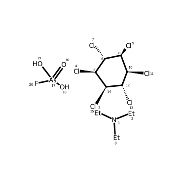 CCN(CC)CC.Cl[C@H]1[C@H](Cl)[C@@H](Cl)[C@@H](Cl)[C@H](Cl)[C@H]1Cl.O=[As](O)(O)F